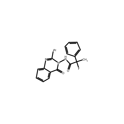 CC(C)c1nc2ccccc2c(=O)n1NC(=O)C(C)(F)c1ccccc1